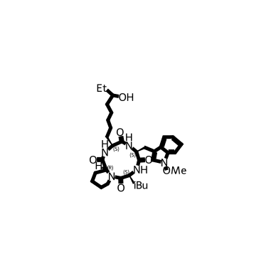 CCC(O)CCCCC[C@@H]1NC(=O)[C@H]2CCCCN2C(=O)[C@H](C(C)CC)NC(=O)[C@H](Cc2cn(OC)c3ccccc23)NC1=O